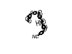 Cc1cc(OC2CCN(C(=O)c3ccc(C(=O)Nc4ccc(Oc5ccc(C#N)cc5)nc4)cn3)CC2)ccc1S(C)(=O)=O